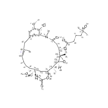 COc1cc2cc(c1Cl)N(C)C(=O)C[C@H](OC(=O)CCC[SH](C)(C)=O)[C@]1(C)O[C@H]1[C@H](C)[C@@H]1C[C@@](O)(NC(=O)O1)[C@H](OC)CC/C=C(\C)C2